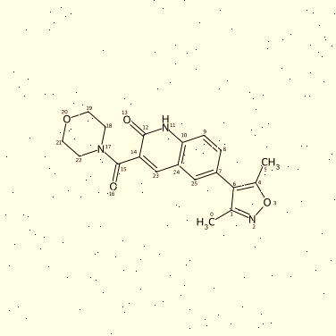 Cc1noc(C)c1-c1ccc2[nH]c(=O)c(C(=O)N3CCOCC3)cc2c1